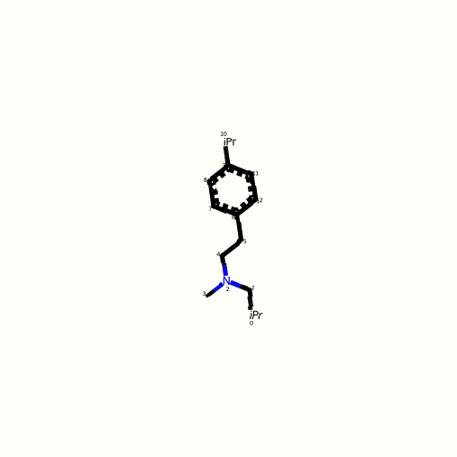 CC(C)CN(C)CCc1ccc(C(C)C)cc1